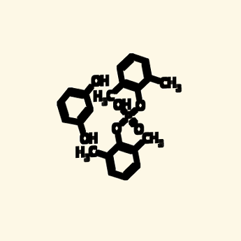 Cc1cccc(C)c1OP(=O)(O)Oc1c(C)cccc1C.Oc1cccc(O)c1